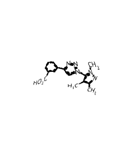 Cc1nn(C)c(-n2cc(-c3cccc(C(=O)O)c3)nn2)c1C